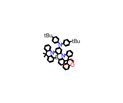 CC(C)(C)c1ccc(N(c2ccc(C(C)(C)C)cc2)c2cc3c4c(c2)N2c5ccccc5C5(c6ccccc6Oc6ccccc65)c5cccc(c52)B4c2cccc4c2N3c2ccccc2C4(C)C)cc1